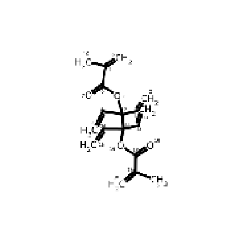 C=CC(C=C)(OC(=O)C(=C)C)C(C=C)(C=C)OC(=O)C(=C)C